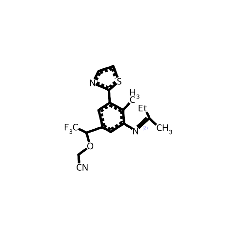 CC/C(C)=N\c1cc(C(OCC#N)C(F)(F)F)cc(-c2nccs2)c1C